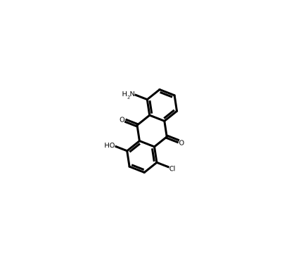 Nc1cccc2c1C(=O)c1c(O)ccc(Cl)c1C2=O